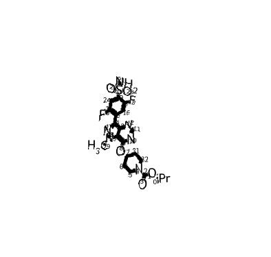 CC(C)OC(=O)N1CCC(Oc2ncnc3c(-c4cc(F)c(S(N)(=O)=O)cc4F)nn(C)c23)CC1